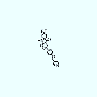 O=C(CN1C(=O)NC2(CCC(F)(F)CC2)C1=O)c1ccc(OCc2ccncc2)cc1